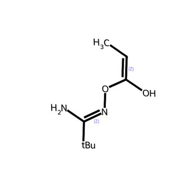 C/C=C(/O)O/N=C(\N)C(C)(C)C